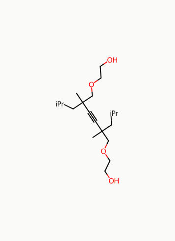 CC(C)CC(C)(C#CC(C)(COCCO)CC(C)C)COCCO